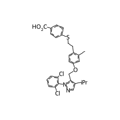 Cc1cc(OCc2c(C(C)C)cnn2-c2c(Cl)cccc2Cl)ccc1CCSc1ccc(C(=O)O)cc1